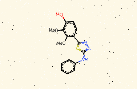 COc1c(O)ccc(-c2nnc(Nc3ccccc3)s2)c1OC